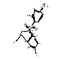 Cc1ccc(S(=O)(=O)N2CC(I)c3cc(Br)cnc32)cc1